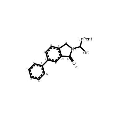 CCCCCC(CC)N1Cc2ccc(-c3ccccc3)cc2C1=O